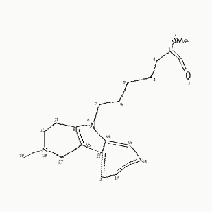 COC(=O)CCCCCn1c2c(c3ccccc31)CN(C)CC2